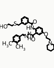 Cc1ccc(C=NNC(=O)c2cc(OCCN3CCCCC3)ccc2NC(=O)c2cccc(CSCCO)c2)cc1C